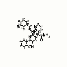 N#Cc1ccccc1-c1ccc(C(C(N)=O)c2cccnc2)c(NCCc2cccc(F)c2F)n1